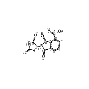 O=C1C[C@H](N2C(=O)c3cccc([N+](=O)[O-])c3C2=O)C(=O)N1